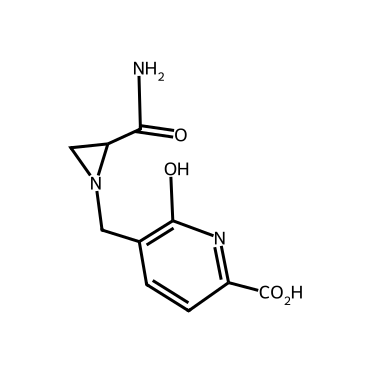 NC(=O)C1CN1Cc1ccc(C(=O)O)nc1O